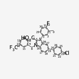 Cc1cc(-c2c(C(=O)O)n(Cc3cccc(C(F)(F)F)c3)c3ccc(-c4ccc(Cl)cc4)cc23)ccc1F